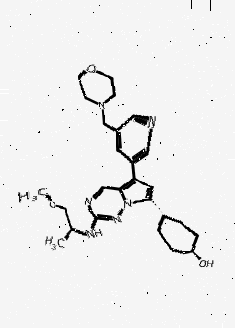 COC[C@H](C)Nc1ncc2c(-c3cncc(CN4CCOCC4)c3)cc([C@H]3CC[C@H](O)CC3)n2n1